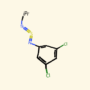 CC(C)N=S=Nc1cc(Cl)cc(Cl)c1